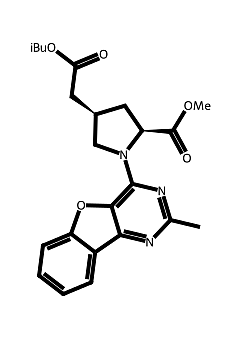 COC(=O)[C@@H]1C[C@H](CC(=O)OCC(C)C)CN1c1nc(C)nc2c1oc1ccccc12